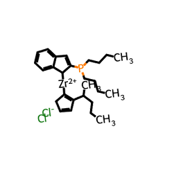 CCCCP(CCCC)C1=Cc2ccccc2[CH]1[Zr+2][C]1=C(C(C)CCC)C=CC1.[Cl-].[Cl-]